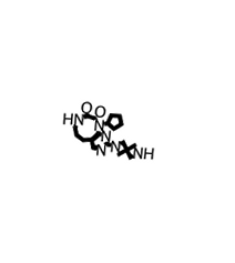 O=C1NCCCc2cnc(N3CC4(CNC4)C3)nc2N(C2CCCC2)C1=O